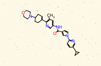 Cc1cc(NC(=O)c2ccn(-c3ccc(C4CC4)cn3)c2)cnc1C1=CCC(N2CCOCC2)CC1